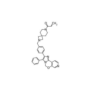 C=CC(=O)N1CCC2(CC1)CN(Cc1ccc(-c3nc4n(c3-c3ccccc3)COc3cnccc3-4)cc1)C2